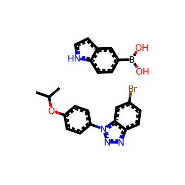 CC(C)Oc1ccc(-n2nnc3ccc(Br)cc32)cc1.OB(O)c1ccc2[nH]ccc2c1